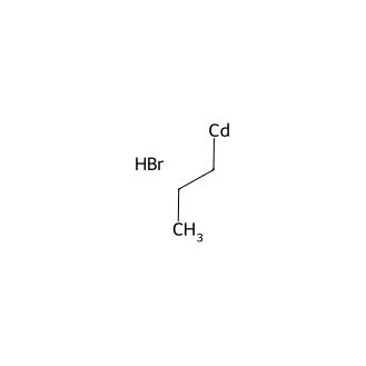 Br.CC[CH2][Cd]